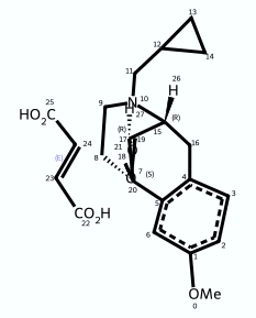 COc1ccc2c(c1)[C@]13CCN(CC4CC4)[C@H](C2)[C@@H]1OCOC3.O=C(O)/C=C/C(=O)O